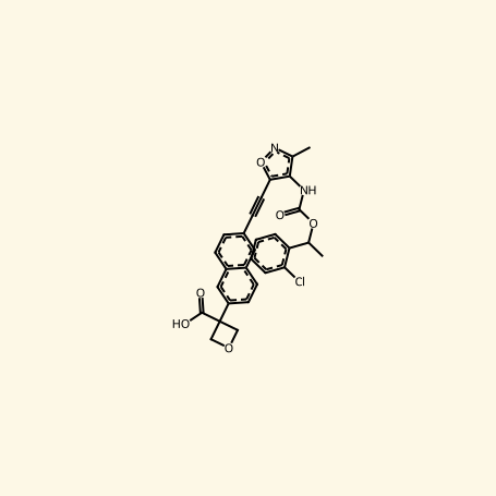 Cc1noc(C#Cc2ccc3cc(C4(C(=O)O)COC4)ccc3c2)c1NC(=O)OC(C)c1ccccc1Cl